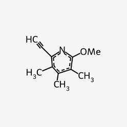 C#Cc1nc(OC)c(C)c(C)c1C